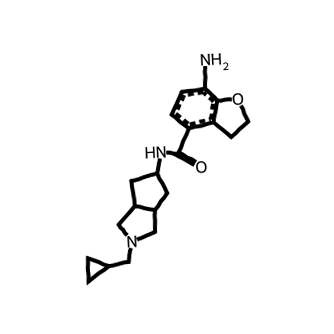 Nc1ccc(C(=O)NC2CC3CN(CC4CC4)CC3C2)c2c1OCC2